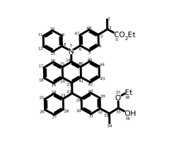 CCOC(=O)C(C)c1ccc(N(c2ccccc2)c2c3ccccc3c(C(c3ccccc3)c3ccc(C(C)C(O)OCC)cc3)c3ccccc23)cc1